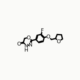 O=C1COC(c2ccc(OCC3CCCO3)c(F)c2)=NN1